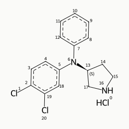 Cl.Clc1ccc(N(c2ccccc2)[C@H]2CCNC2)cc1Cl